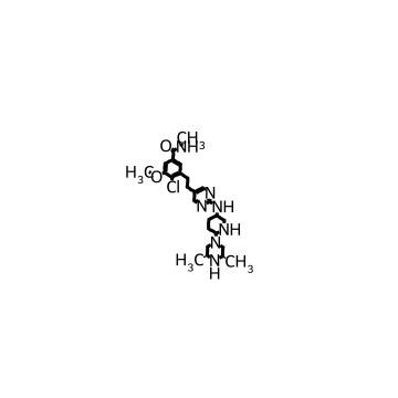 CNC(=O)c1cc(CCc2cnc(NC3CCC(N4C[C@@H](C)N[C@@H](C)C4)NC3)nc2)c(Cl)c(OC)c1